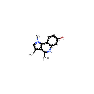 Cc1cn(C)c2c1c(C(=O)O)nc1cc(Br)ccc12